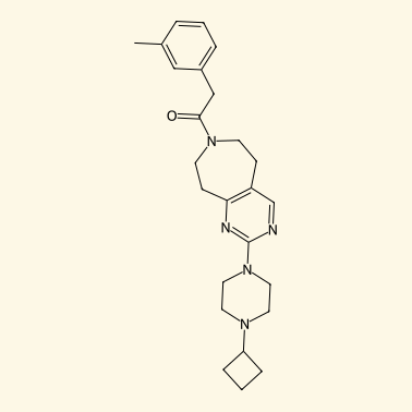 Cc1cccc(CC(=O)N2CCc3cnc(N4CCN(C5CCC5)CC4)nc3CC2)c1